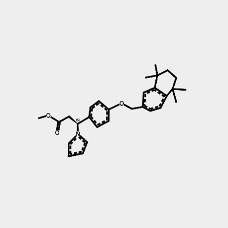 COC(=O)C[C@@H](c1ccc(OCc2ccc3c(c2)C(C)(C)CCC3(C)C)cc1)n1cccc1